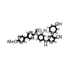 COc1ncc(-c2cnc(N(C(=O)O)[C@H]3CC[C@H](Nc4ncc(C#N)c(N5CCCC(O)CC5)n4)CC3)nc2)cn1